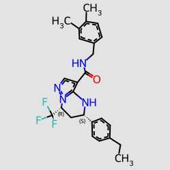 CCc1ccc([C@@H]2C[C@H](C(F)(F)F)n3ncc(C(=O)NCc4ccc(C)c(C)c4)c3N2)cc1